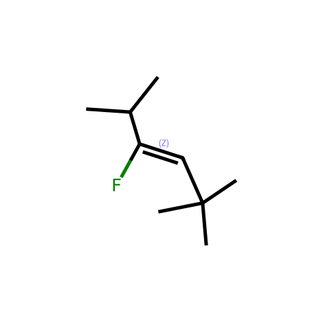 CC(C)/C(F)=C/C(C)(C)C